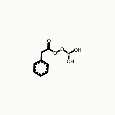 O=C(Cc1ccccc1)OOB(O)O